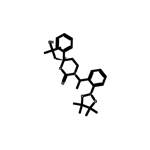 CC(c1ccccc1B1OC(C)(C)C(C)(C)O1)N1CC[C@](CC(C)(C)O)(c2ccccc2)OC1=O